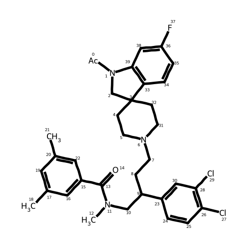 CC(=O)N1CC2(CCN(CCC(CN(C)C(=O)c3cc(C)cc(C)c3)c3ccc(Cl)c(Cl)c3)CC2)c2ccc(F)cc21